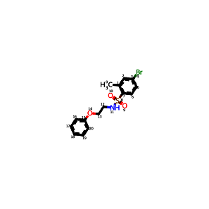 Cc1cc(Br)ccc1S(=O)(=O)NCCOc1ccccc1